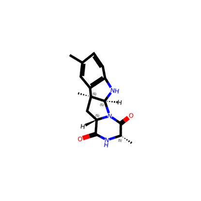 Cc1ccc2c(c1)[C@]1(C)C[C@H]3C(=O)N[C@@H](C)C(=O)N3[C@@H]1N2